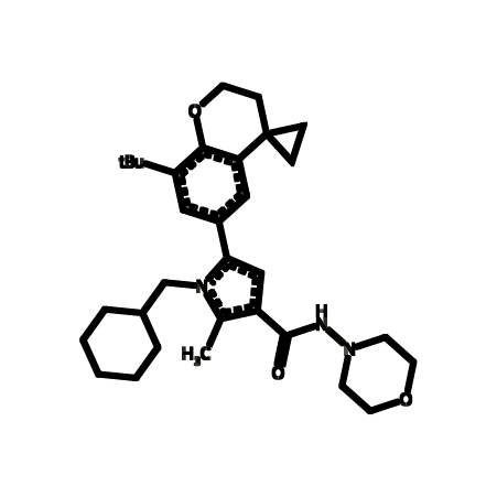 Cc1c(C(=O)NN2CCOCC2)cc(-c2cc(C(C)(C)C)c3c(c2)C2(CCO3)CC2)n1CC1CCCCC1